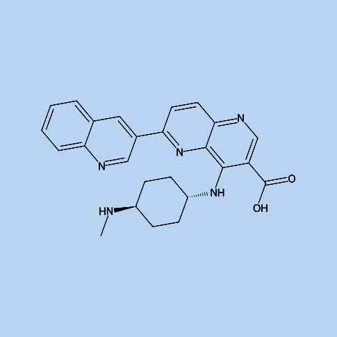 CN[C@H]1CC[C@H](Nc2c(C(=O)O)cnc3ccc(-c4cnc5ccccc5c4)nc23)CC1